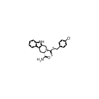 NC(=O)[C@@H]1Cc2c([nH]c3ccccc23)CN1C(=S)SCc1ccc(Cl)cc1